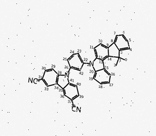 CC1(C)c2ccccc2-c2ccc3c(c21)c1ccccc1n3-c1cccc(-n2c3ccc(C#N)cc3c3cc(C#N)ccc32)c1